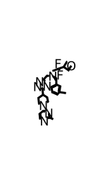 Cc1ccc2c(c1)CN(CC(F)(F)C1COC1)Cc1nnc(C3CCN(c4ccnc(C)n4)CC3)n1-2